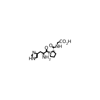 N[C@@H](Cc1c[nH]cn1)C(=O)N1CCC[C@H]1C(=O)NCC(=O)O